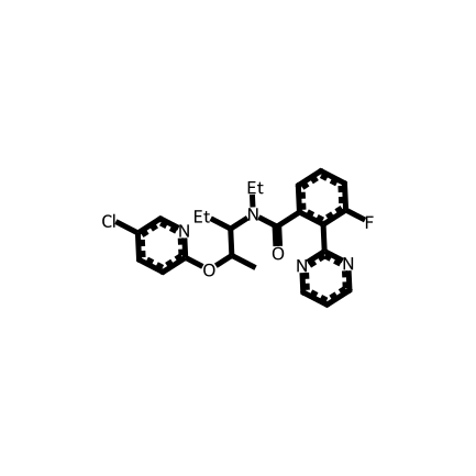 CCC(C(C)Oc1ccc(Cl)cn1)N(CC)C(=O)c1cccc(F)c1-c1ncccn1